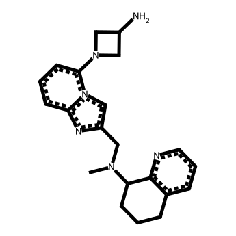 CN(Cc1cn2c(N3CC(N)C3)cccc2n1)C1CCCc2cccnc21